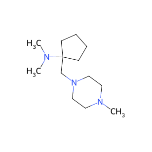 CN1CCN(CC2(N(C)C)CCCC2)CC1